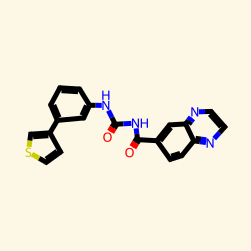 O=C(NC(=O)c1ccc2nccnc2c1)Nc1cccc(-c2ccsc2)c1